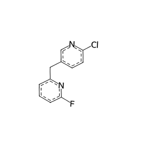 Fc1cccc(Cc2ccc(Cl)nc2)n1